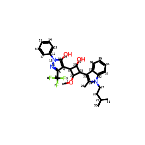 COC1C(c2c(C(F)(F)F)nn(-c3ccccc3)c2O)C(O)C1c1c(C)n(CCC(C)C)c2ccccc12